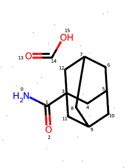 NC(=O)C12CC3CC(CC(C3)C1)C2.O=CO